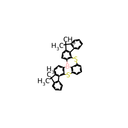 CC1(C)c2ccccc2-c2c1ccc1c2Sc2cccc3c2B1c1ccc2c(c1S3)-c1ccccc1C2(C)C